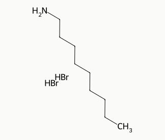 Br.Br.CCCCCCCCCN